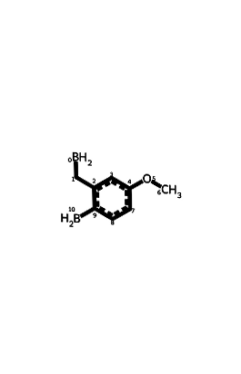 BCc1cc(OC)ccc1B